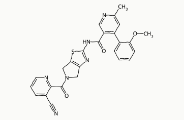 COc1ccccc1-c1cc(C)ncc1C(=O)Nc1nc2c(s1)CN(C(=O)c1ncccc1C#N)C2